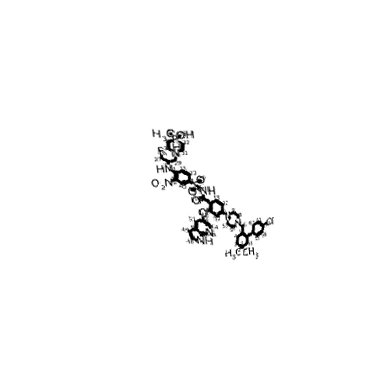 CC1(C)CCC(CN2CCN(c3ccc(C(=O)NS(=O)(=O)c4ccc(NC(CF)CN5CC[PH](C)(O)CC5)c([N+](=O)[O-])c4)c(Oc4cnc5[nH]ccc5c4)c3)CC2)=C(c2ccc(Cl)cc2)C1